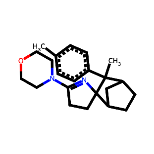 Cc1ccc(C2(C)C3CCC(C3)C23CCC(N2CCOCC2)=N3)cc1